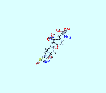 NC(Cc1ccc(Oc2ccc(/C=C3/SC(=O)NC3=O)cc2)cc1[N+](=O)[O-])C(=O)O